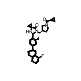 O=C(C1CC1)N1CC[C@@H](CN2C(=O)C3(CC3)NC2c2ccc(-c3ccc4cccc(F)c4c3)cc2F)C1